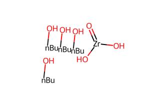 CCCCO.CCCCO.CCCCO.CCCCO.[O]=[Zr]([OH])[OH]